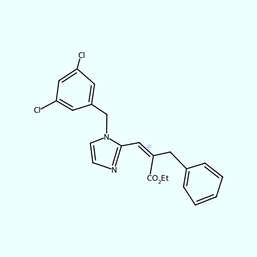 CCOC(=O)/C(=C\c1nccn1Cc1cc(Cl)cc(Cl)c1)Cc1ccccc1